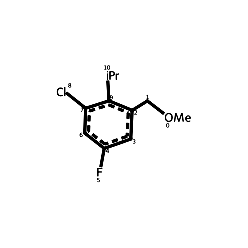 COCc1cc(F)cc(Cl)c1C(C)C